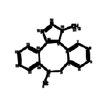 CCN1Cc2ccccc2-c2c(nnn2C)-c2ccccc21